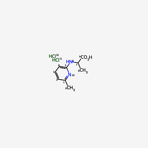 Cc1cccc(NC(C)C(=O)O)n1.Cl.Cl